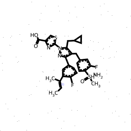 C/C=C(\C)c1cc(-c2nn(-c3nc(C(=O)O)cs3)c(CC3CC3)c2Cc2ccc([SH](C)(N)=O)c(F)c2)ccc1F